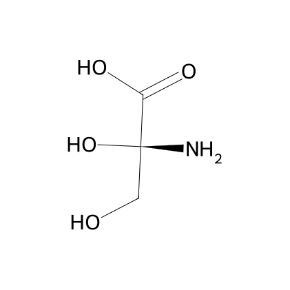 N[C@](O)(CO)C(=O)O